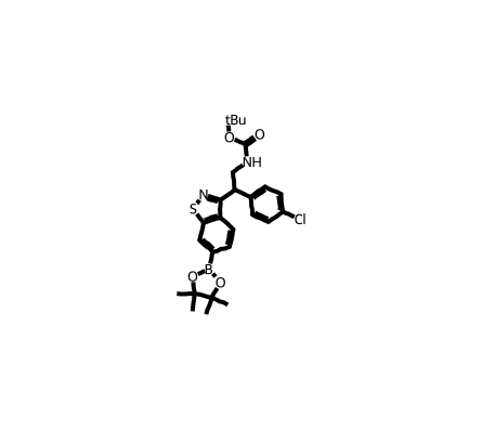 CC(C)(C)OC(=O)NCC(c1ccc(Cl)cc1)c1nsc2cc(B3OC(C)(C)C(C)(C)O3)ccc12